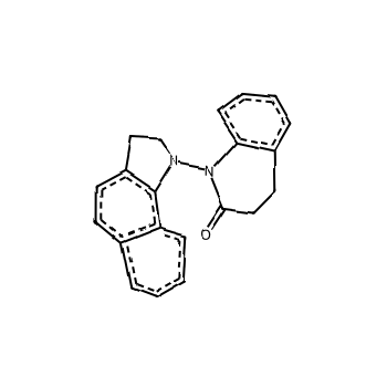 O=C1CCc2ccccc2N1N1CCc2ccc3ccccc3c21